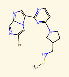 CSNCC1CCN(c2ccnc(-c3cnc4cnc(Br)cn34)n2)C1